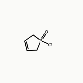 O=P1(Cl)CC=CC1